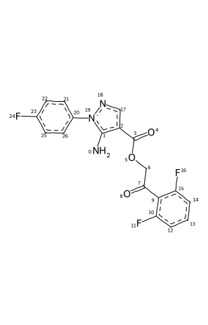 Nc1c(C(=O)OCC(=O)c2c(F)cccc2F)cnn1-c1ccc(F)cc1